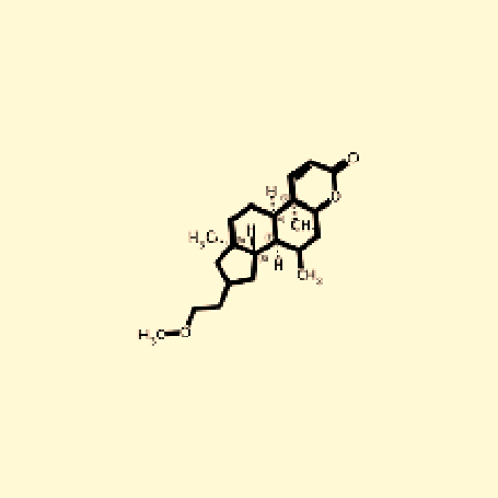 COCCC1C[C@H]2[C@@H]3C(C)CC4OC(=O)C=C[C@]4(C)[C@@H]3CC[C@]2(C)C1